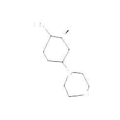 C[C@H]1CC(N2CCOCC2)CCC1N